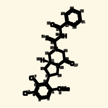 COc1ccc(Cl)c(Cl)c1[C@H]1C[C@H]2CN(C(=S)NC(=O)c3ccccc3)CC(=O)N2C1